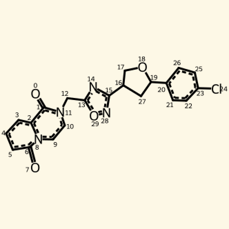 O=c1c2cccc(=O)n2ccn1Cc1nc(C2COC(c3ccc(Cl)cc3)C2)no1